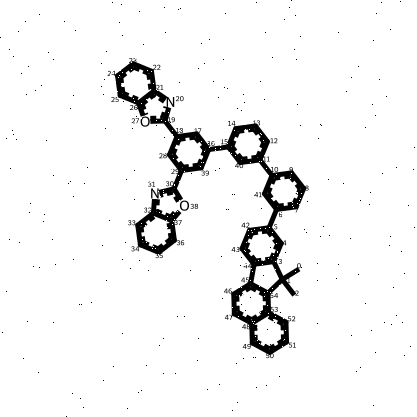 CC1(C)c2cc(-c3cccc(-c4cccc(-c5cc(-c6nc7ccccc7o6)cc(-c6nc7ccccc7o6)c5)c4)c3)ccc2-c2ccc3ccccc3c21